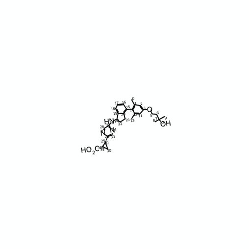 Cc1cc(OCCC(C)(C)O)cc(C)c1-c1cccc2c1CC[C@H]2Nc1cnc([C@H]2C[C@@H]2C(=O)O)cn1